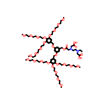 CCN(CCN(CC(=O)O)CC(=O)OCc1cc(OCc2cc(OCCOCCOCCOC)c(OCCOCCOCCOC)c(OCCOCCOCCOC)c2)cc(OCc2cc(OCCOCCOCCOC)c(OCCOCCOCCOC)c(OCCOCCOCCOC)c2)c1)CC(=O)O